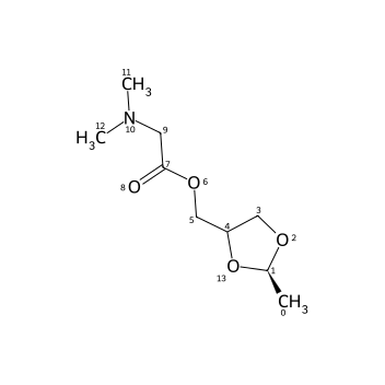 C[C@@H]1OCC(COC(=O)CN(C)C)O1